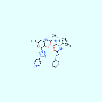 CC(C)[C@H](NC(=O)CCc1ccccc1)C(=O)N[C@@H](C)C(=O)NC(CC(=O)O)C(=O)Cn1nnc(-c2ccncc2)n1